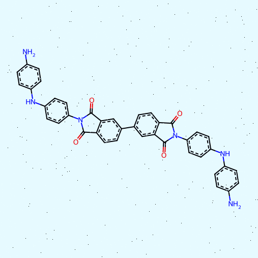 Nc1ccc(Nc2ccc(N3C(=O)c4ccc(-c5ccc6c(c5)C(=O)N(c5ccc(Nc7ccc(N)cc7)cc5)C6=O)cc4C3=O)cc2)cc1